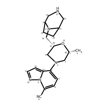 C[C@@H]1CN(c2ccc(C#N)n3nccc23)C[C@H](CN2C3CCC2CNC3)O1